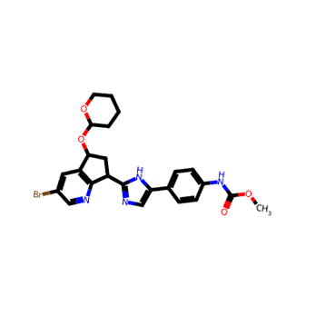 COC(=O)Nc1ccc(-c2cnc(C3CC(OC4CCCCO4)c4cc(Br)cnc43)[nH]2)cc1